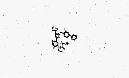 O=C(O)[C@@H]1COCCN1c1nc(-c2cc(-c3ccon3)n(Cc3ccc(-c4ccccc4)cc3F)n2)ncc1F